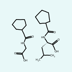 CC(C)C[C@H](NC(=O)C1CCCCC1)C(=O)O.O=C(O)CNC(=O)C1CCCCC1